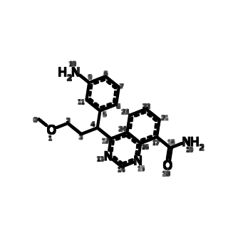 COCCC(c1cccc(N)c1)c1ncnc2c(C(N)=O)cccc12